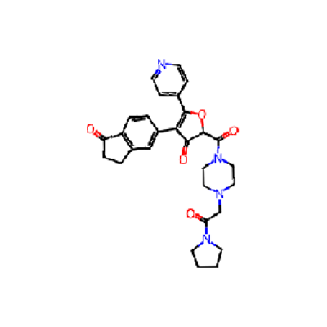 O=C1CCc2cc(C3=C(c4ccncc4)OC(C(=O)N4CCN(CC(=O)N5CCCC5)CC4)C3=O)ccc21